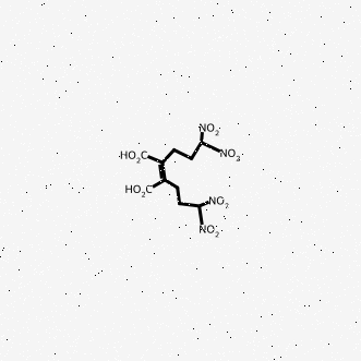 O=C(O)/C(CCC([N+](=O)[O-])[N+](=O)[O-])=C(/CCC([N+](=O)[O-])[N+](=O)[O-])C(=O)O